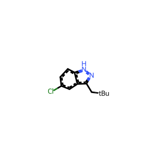 CC(C)(C)Cc1n[nH]c2ccc(Cl)cc12